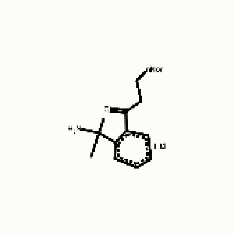 CCCCCCCCCCCC(=O)c1ccccc1C(C)(C)N.Cl